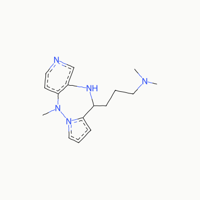 CN(C)CCCC1Nc2cnccc2N(C)n2cccc21